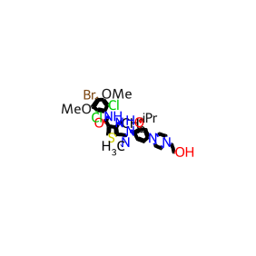 C=Nc1c(C(=O)Nc2c(Cl)c(OC)c(Br)c(OC)c2Cl)csc1/C(=N\C)Nc1ccc(N2CCN(CCO)CC2)cc1OC(C)C